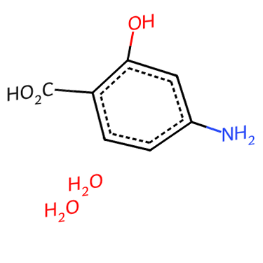 Nc1ccc(C(=O)O)c(O)c1.O.O